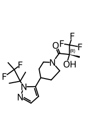 CC(F)(F)C(C)(C)n1nccc1C1CCN(C(=O)[C@@](C)(O)C(F)(F)F)CC1